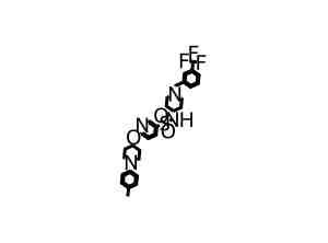 Cc1ccc(N2CCC(Oc3ccc(S(=O)(=O)NC4CCN(Cc5cccc(C(F)(F)F)c5)CC4)cn3)CC2)cc1